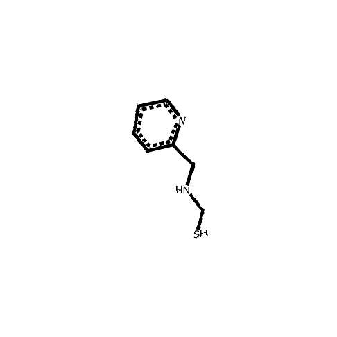 SCNCc1ccccn1